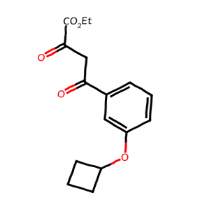 CCOC(=O)C(=O)CC(=O)c1cccc(OC2CCC2)c1